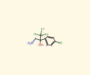 NCC(O)(c1ccc(Cl)cc1)C(F)(F)F